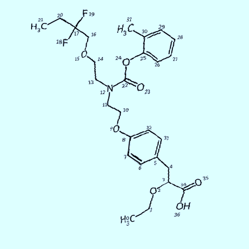 CCOC(Cc1ccc(OCCN(CCOCC(F)(F)CC)C(=O)Oc2ccccc2C)cc1)C(=O)O